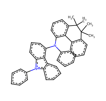 CC1(C)c2ccccc2-c2c(N(c3ccccc3)c3cccc4c3c3ccccc3n4-c3ccccc3)cccc2C1(C)C